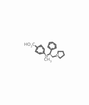 CN(c1ccc(C(=O)O)cc1)[C@H](CN1CCCC1)c1ccccc1